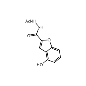 CC(=O)NNC(=O)c1cc2c(O)cccc2o1